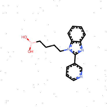 OB(O)CCCCn1c(-c2cccnc2)nc2ccccc21